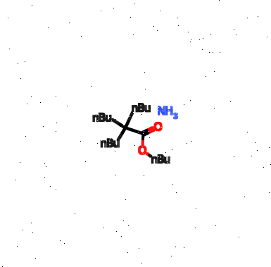 CCCCOC(=O)C(CCCC)(CCCC)CCCC.N